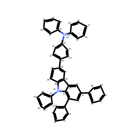 c1ccc(-c2cc(-c3ccccc3)c3c(c2)c2cc(-c4ccc(N(c5ccccc5)c5ccccc5)cc4)ccc2n3-c2ccccc2)cc1